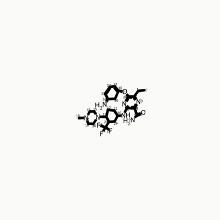 CCc1nc(C(N)=O)c(NC2CCC(N3CCN(C)CC3)C(C(F)(F)F)C2)nc1OC1=CC=CC(N)C1